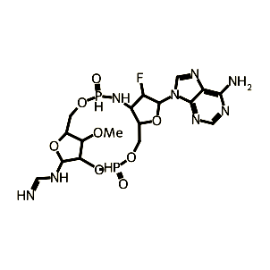 COC1C2CO[PH](=O)NC3C(CO[PH](=O)OC1C(NC=N)O2)OC(n1cnc2c(N)ncnc21)C3F